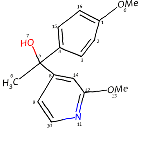 COc1ccc(C(C)(O)c2ccnc(OC)c2)cc1